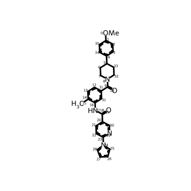 COc1ccc(C2CCN(C(=O)c3ccc(C)c(NC(=O)c4ccc(-n5cccc5)nc4)c3)CC2)cc1